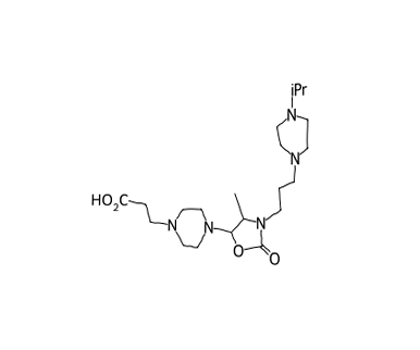 CC(C)N1CCN(CCCN2C(=O)OC(N3CCN(CCC(=O)O)CC3)C2C)CC1